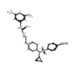 CC(=O)Nc1ccc(S(=O)(=O)N(C2CC2)C2CCN(CCNC(=O)Nc3cc(C)nc(C)c3)CC2)cc1